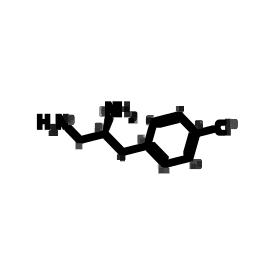 NC[C@@H](N)Cc1ccc(Cl)cc1